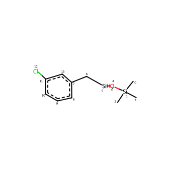 C[Si](C)(C)O[SiH2]Cc1cccc(Cl)c1